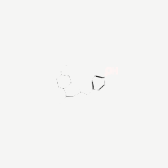 CCCCC(CC(F)Cc1ccc(O)cc1)C1CCC(CCC)CC1